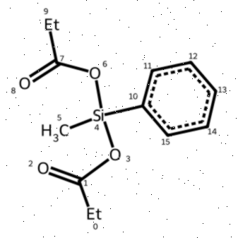 CCC(=O)O[Si](C)(OC(=O)CC)c1ccccc1